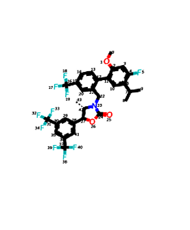 COc1cc(F)c(C(C)C)cc1-c1ccc(C(F)(F)F)cc1CN1C(=O)OC(c2cc(C(F)(F)F)cc(C(F)(F)F)c2)[C@@H]1C